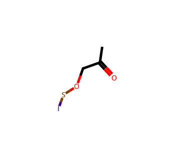 CC(=O)COSI